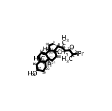 CC(C)C(C)C(=O)C[C@@H](C)[C@H]1CC[C@H]2C3=CC=C4C[C@@H](O)CC[C@]4(C)[C@H]3CC[C@]12C